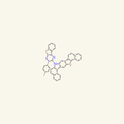 Cc1ccc(-c2nc3sc4ccccc4c3nc2-n2c3cc4c(cc3c3c5ccccc5ccc32)sc2c3ccccc3ccc42)cc1